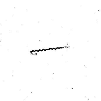 CCCCCCCC/C=C\CCCCCCCCC=CCCCCCCCCCCCCCCCCC